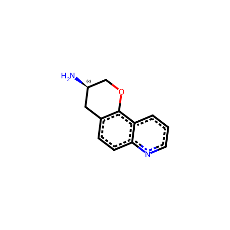 N[C@H]1COc2c(ccc3ncccc23)C1